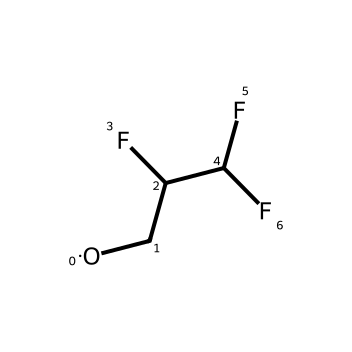 [O]CC(F)C(F)F